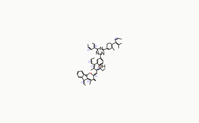 C=C(/C(C)=C/C(=C(/O)CC)C(/C)=C(/C=C\C)c1cccc(-c2nc(C3=CC(C)=C(C(/C=C\C)=C(C)C)CC3)nc(C(/C=C\C)=C/C)n2)c1)/C(C)=C1/C(=C\C)c2ccccc2[C@H]1C